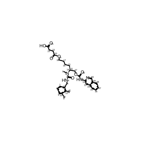 CN(C(=O)NCc1cccc(F)c1F)[C@@H](CCCCOC(=O)CCC(=O)O)COC(=O)Nc1cc2ccccc2cn1